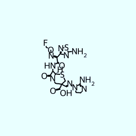 NC1=NCCN1N=CC1(C(=O)O)CS[C@@H]2C(NC(=O)C(=NOCF)c3nsc(N)n3)C(=O)N2C1